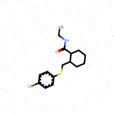 N#CCNC(=O)C1CCCCC1CSc1ccc(Cl)cc1